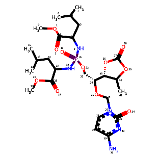 COC(=O)C(CC(C)C)NP(=O)(NC(CC(C)C)C(=O)OC)OC[C@@H](OCn1ccc(N)nc1=O)[C@@H]1OC(=O)OC1C